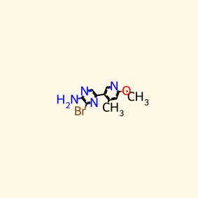 COc1cc(C)c(-c2cnc(N)c(Br)n2)cn1